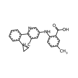 Cc1ccc(Nc2cnc(-c3ccccc3C3CC3)c(C)c2)c(C(=O)O)c1